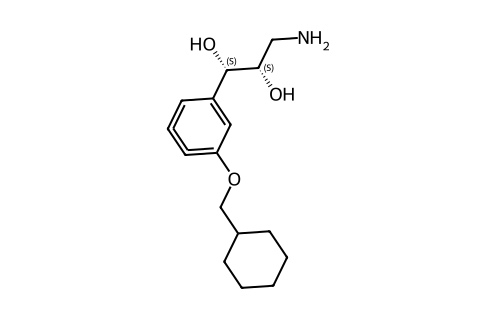 NC[C@H](O)[C@@H](O)C1=CC(OCC2CCCCC2)=C=C=C1